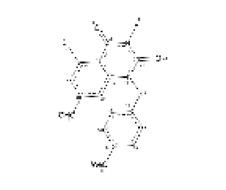 CCn1c(=O)c2c(Cl)cc(C=O)cc2n(Cc2ccc(OC)cc2)c1=O